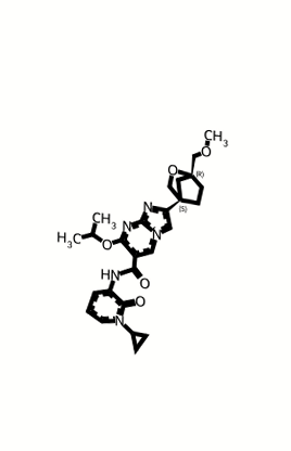 COC[C@]12CC[C@](c3cn4cc(C(=O)Nc5cccn(C6CC6)c5=O)c(OC(C)C)nc4n3)(CO1)C2